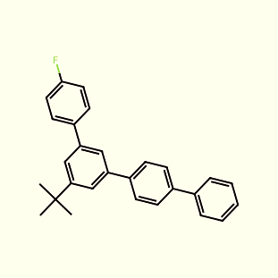 CC(C)(C)c1cc(-c2ccc(F)cc2)cc(-c2ccc(-c3ccccc3)cc2)c1